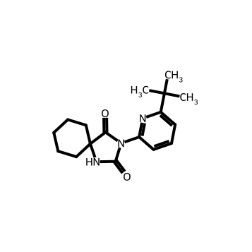 CC(C)(C)c1cccc(N2C(=O)NC3(CCCCC3)C2=O)n1